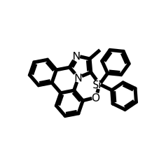 Cc1nc2c3ccccc3c3cccc4c3n2c1[Si](c1ccccc1)(c1ccccc1)O4